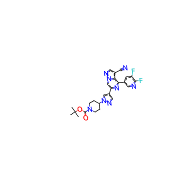 CC(C)(C)OC(=O)N1CCC(n2cc(-c3cn4ncc(C#N)c4c(-c4cnc(F)c(F)c4)n3)cn2)CC1